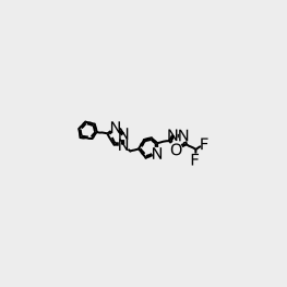 FC(F)c1nnc(-c2ccc(Cn3cc(-c4ccccc4)nn3)cn2)o1